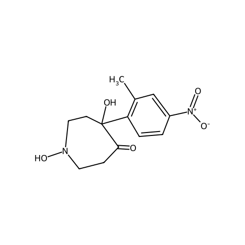 Cc1cc([N+](=O)[O-])ccc1C1(O)CCN(O)CCC1=O